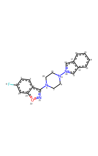 Fc1ccc2c(N3CCN(n4cc5ccccc5c4)CC3)noc2c1